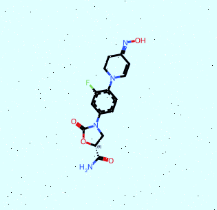 NC(=O)[C@H]1CN(c2ccc(N3C=CC(=NO)CC3)c(F)c2)C(=O)O1